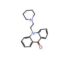 O=c1c2ccccc2n(CCN2CCCCC2)c2ccccc12